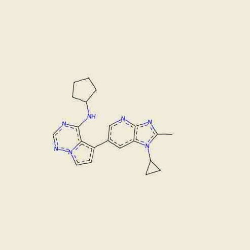 Cc1nc2ncc(-c3ccn4ncnc(NC5CCCC5)c34)cc2n1C1CC1